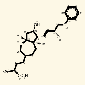 CCCC(CCC1CC[C@@H]2[C@@H](/C=C/[C@@H](O)COc3ccccc3)[C@H](O)C[C@H]2OC1)C(=O)O